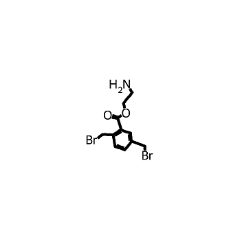 NCCOC(=O)c1cc(CBr)ccc1CBr